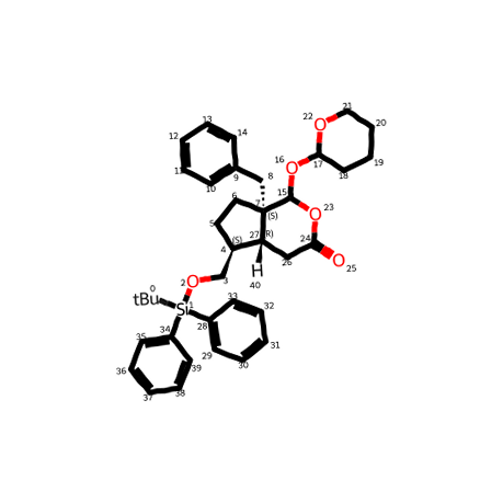 CC(C)(C)[Si](OC[C@H]1CC[C@@]2(Cc3ccccc3)C(OC3CCCCO3)OC(=O)C[C@H]12)(c1ccccc1)c1ccccc1